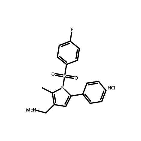 CNCc1cc(-c2ccccc2)n(S(=O)(=O)c2ccc(F)cc2)c1C.Cl